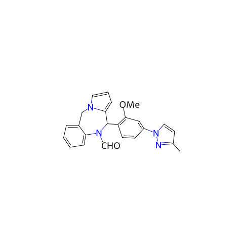 COc1cc(-n2ccc(C)n2)ccc1C1c2cccn2Cc2ccccc2N1C=O